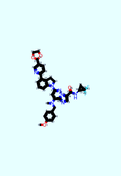 COc1ccc(CN(C)c2cc(N3CCc4c(-c5ccc(C6OCCO6)cn5)cccc43)nn3c(C(=O)N[C@H]4CC4(F)F)cnc23)cc1